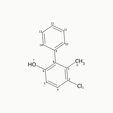 Cc1c(Cl)ccc(O)c1-c1ccccc1